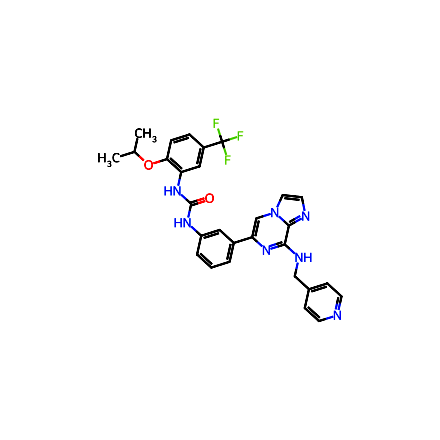 CC(C)Oc1ccc(C(F)(F)F)cc1NC(=O)Nc1cccc(-c2cn3ccnc3c(NCc3ccncc3)n2)c1